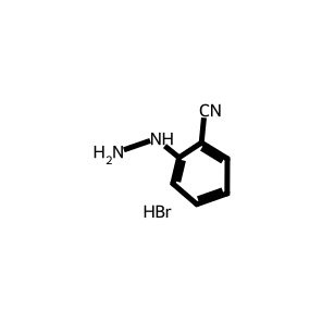 Br.N#Cc1ccccc1NN